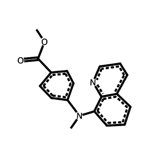 COC(=O)c1ccc(N(C)c2cccc3cccnc23)cc1